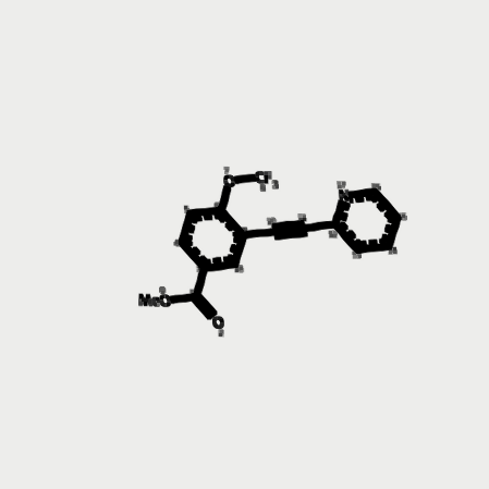 COC(=O)c1ccc(OC(F)(F)F)c(C#Cc2ccccn2)c1